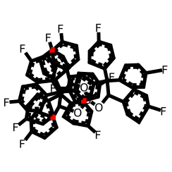 Fc1ccc(C(OB(OC(c2ccc(F)cc2)C(c2ccc(F)cc2)(c2ccc(F)cc2)c2ccc(F)cc2)OC(c2ccc(F)cc2)C(c2ccc(F)cc2)(c2ccc(F)cc2)c2ccc(F)cc2)C(c2ccc(F)cc2)(c2ccc(F)cc2)c2ccc(F)cc2)cc1